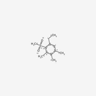 CCc1cc(C)c(C)c(C)c1S(C)(=O)=O